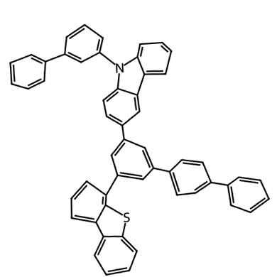 c1ccc(-c2ccc(-c3cc(-c4ccc5c(c4)c4ccccc4n5-c4cccc(-c5ccccc5)c4)cc(-c4cccc5c4sc4ccccc45)c3)cc2)cc1